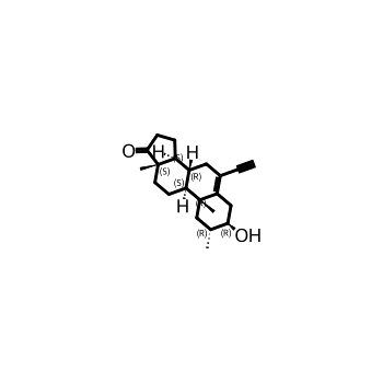 C#CC1=C2C[C@@H](O)[C@H](C)C[C@]2(C)[C@H]2CC[C@]3(C)C(=O)CC[C@H]3[C@@H]2C1